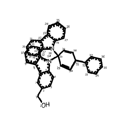 OCc1ccc2c(c1)c1ccccc1n2C1(n2c3ccccc3c3ccccc32)C=CC(c2ccccc2)C=C1